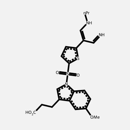 CCCN/C=C(\C=N)c1ccc(S(=O)(=O)n2cc(CCC(=O)O)c3cc(OC)ccc32)s1